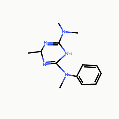 CC1N=C(N(C)C)NC(N(C)c2ccccc2)=N1